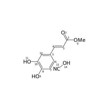 COC(=O)/C=C/c1ccc(O)c(O)c1.N#CO